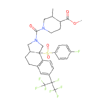 COC(=O)C1CCN(C(=O)N2CC3CCc4cc(C(F)(C(F)(F)F)C(F)(F)F)ccc4C3(S(=O)(=O)c3ccc(F)cc3)C2)CC1C